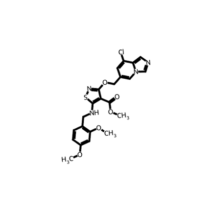 COC(=O)c1c(OCc2cc(Cl)c3cncn3c2)nsc1NCc1ccc(OC)cc1OC